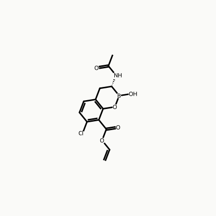 C=COC(=O)c1c(Cl)ccc2c1OB(O)[C@@H](NC(C)=O)C2